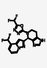 FC(F)c1nnc(N2CCc3[nH]cnc3[C@H]2c2cc3c(C(F)F)cccn3n2)o1